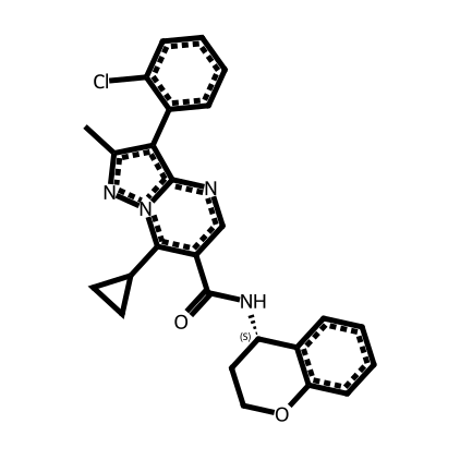 Cc1nn2c(C3CC3)c(C(=O)N[C@H]3CCOc4ccccc43)cnc2c1-c1ccccc1Cl